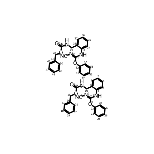 N#CN=C(Nc1ccccc1CNC(=O)OCc1ccccc1)Oc1ccccc1.N#CN=C(Nc1ccccc1CNC(=O)OCc1ccccc1)Oc1ccccc1